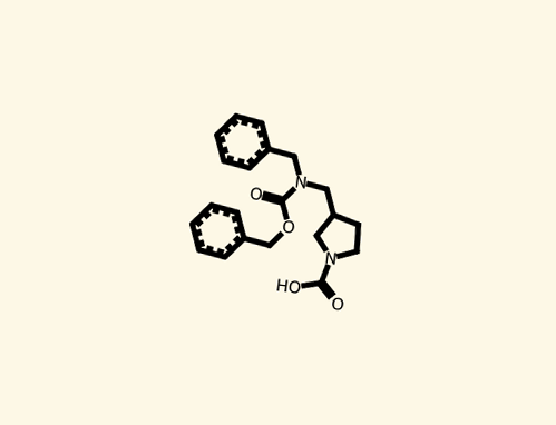 O=C(O)N1CCC(CN(Cc2ccccc2)C(=O)OCc2ccccc2)C1